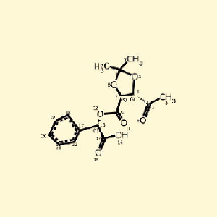 CC(=O)[C@H]1OC(C)(C)O[C@@H]1C(=O)O[C@H](C(=O)O)c1ccccc1